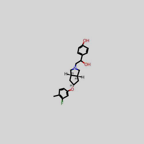 Cc1ccc(O[C@@H]2C[C@@H]3CN(CC(O)c4ccc(O)cc4)C[C@@H]3C2)cc1F